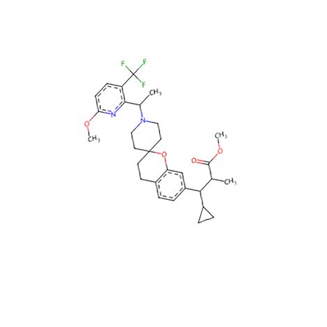 COC(=O)C(C)C(c1ccc2c(c1)OC1(CC2)CCN(C(C)c2nc(OC)ccc2C(F)(F)F)CC1)C1CC1